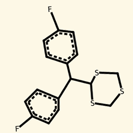 Fc1ccc(C(c2ccc(F)cc2)C2SCSCS2)cc1